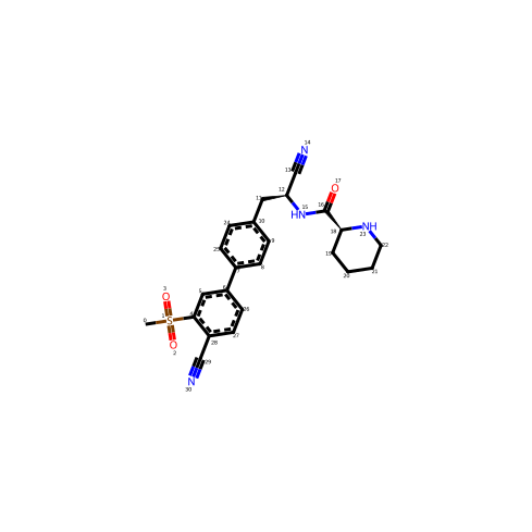 CS(=O)(=O)c1cc(-c2ccc(C[C@@H](C#N)NC(=O)[C@@H]3CCCCN3)cc2)ccc1C#N